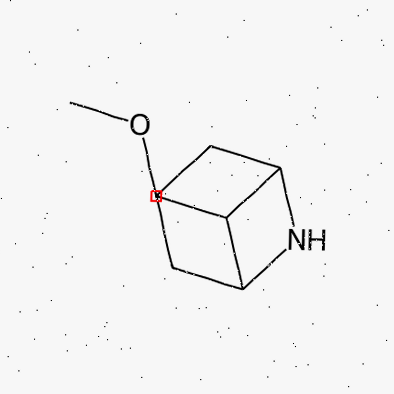 COCC1C2CCCC1N2